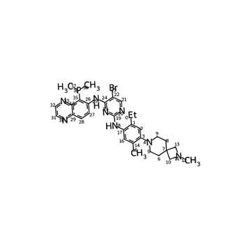 CCc1cc(N2CCC3(CC2)CN(C)C3)c(C)cc1Nc1ncc(Br)c(Nc2ccc3nccnc3c2P(C)C)n1